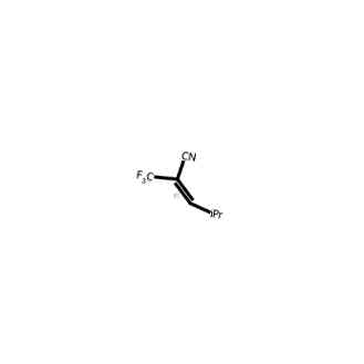 CC(C)/C=C(\C#N)C(F)(F)F